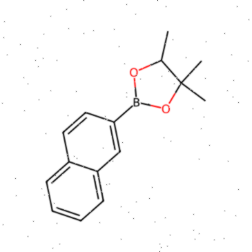 CC1OB(c2ccc3ccccc3c2)OC1(C)C